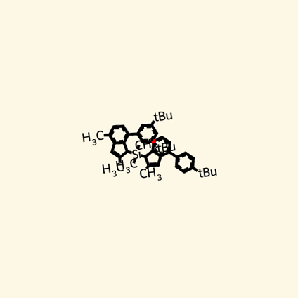 CC1=Cc2c(-c3ccc(C(C)(C)C)cc3)cccc2C1[Si](C)(C)C1C(C)=Cc2c(C)ccc(-c3cc(C(C)(C)C)cc(C(C)(C)C)c3)c21